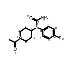 CC(=O)N1CCC(N(C(N)=O)c2ccc(F)cc2)CC1